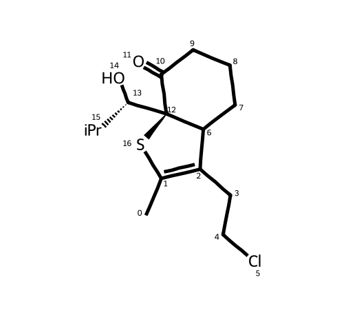 CC1=C(CCCl)C2CCCC(=O)[C@]2([C@@H](O)C(C)C)S1